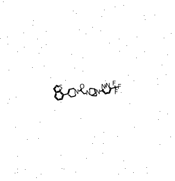 O=C(CN1CC2CC1CN2c1ccc(C(F)(F)F)nn1)N1CC=C(c2cccc3ccsc23)CC1